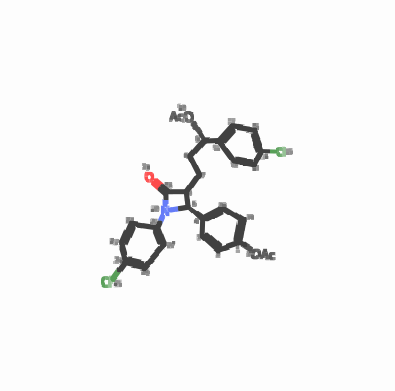 CC(=O)Oc1ccc([C@@H]2C(CC[C@@H](OC(C)=O)c3ccc(Cl)cc3)C(=O)N2c2ccc(Cl)cc2)cc1